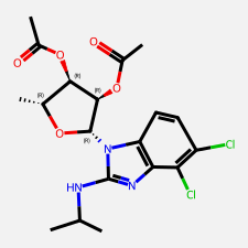 CC(=O)O[C@@H]1[C@H](OC(C)=O)[C@@H](C)O[C@H]1n1c(NC(C)C)nc2c(Cl)c(Cl)ccc21